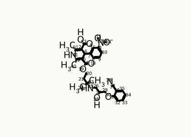 CC1=C(C(=O)O)C(c2cccc([N+](=O)[O-])c2)C(C(=O)OCCC(C)(C)NCC(O)COc2ccccc2C#N)=C(C)N1